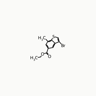 CCOC(=O)c1cc(C)c2scc(Br)c2c1